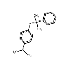 CC(C)c1ccc(CC(C)(C)c2ccncc2)cc1